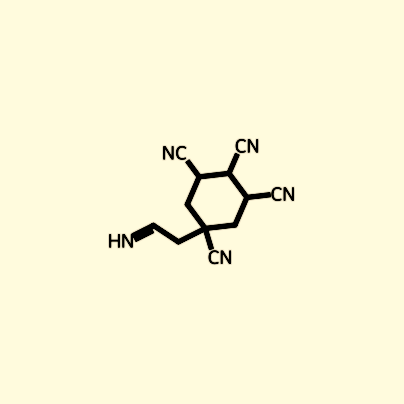 N#CC1CC(C#N)(CC=N)CC(C#N)C1C#N